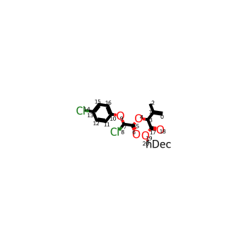 C=C(C)C(OC(=O)C(Cl)Oc1ccc(Cl)cc1)C(=O)OCCCCCCCCCC